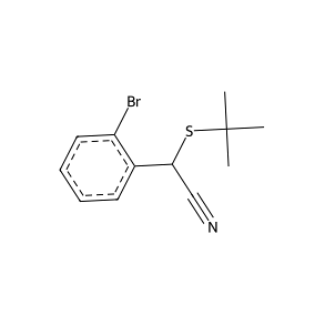 CC(C)(C)SC(C#N)c1ccccc1Br